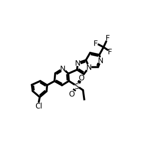 CCS(=O)(=O)c1cc(-c2cccc(Cl)c2)cnc1-c1cn2cnc(C(F)(F)F)cc2n1